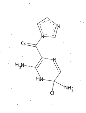 NC1=C(C(=O)n2ccnc2)N=CC(N)(Cl)N1